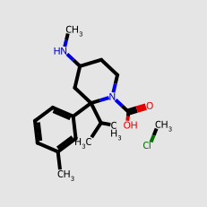 CCl.CNC1CCN(C(=O)O)C(c2cccc(C)c2)(C(C)C)C1